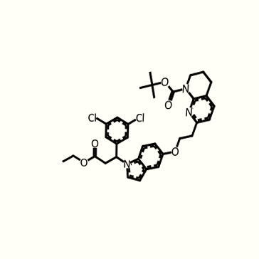 CCOC(=O)CC(c1cc(Cl)cc(Cl)c1)n1ccc2cc(OCCc3ccc4c(n3)N(C(=O)OC(C)(C)C)CCC4)ccc21